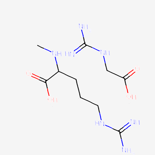 CNC(CCCNC(=N)N)C(=O)O.N=C(N)NCC(=O)O